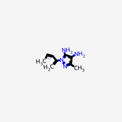 C=C(/C=C\C)n1nc(C)c(N)c1N